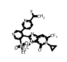 C=C(F)c1ccc(-c2cncc(S(=O)(=O)CC)c2-c2nc3cc(C(F)(F)F)n(C4CC4)c(=O)c3n2C)cn1